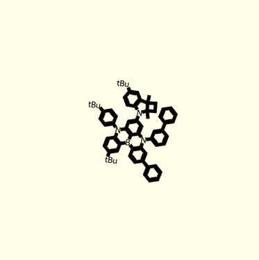 CC(C)(C)c1ccc(N2c3ccc(C(C)(C)C)cc3B3c4ccc(-c5ccccc5)cc4N(c4cccc(-c5ccccc5)c4)c4cc(N5c6ccc(C(C)(C)C)cc6C6(C)CCC56C)cc2c43)cc1